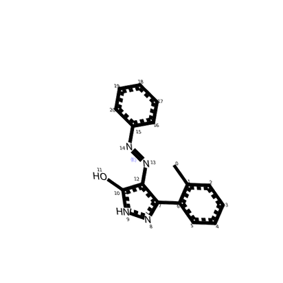 Cc1ccccc1-c1n[nH]c(O)c1/N=N/c1ccccc1